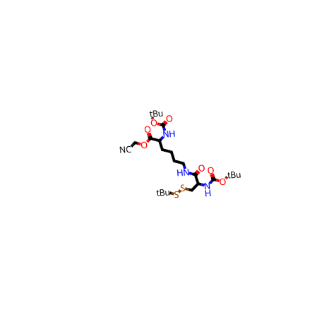 CC(C)(C)OC(=O)NC(CSSC(C)(C)C)C(=O)NCCCCC(NC(=O)OC(C)(C)C)C(=O)OCC#N